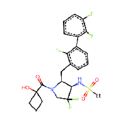 CCS(=O)(=O)N[C@@H]1[C@H](Cc2cccc(-c3cccc(F)c3F)c2F)N(C(=O)C2(O)CCC2)CC1(F)F